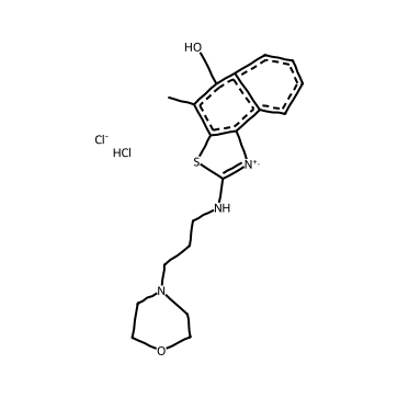 Cc1c2c(c3ccccc3c1O)[N+]=C(NCCCN1CCOCC1)S2.Cl.[Cl-]